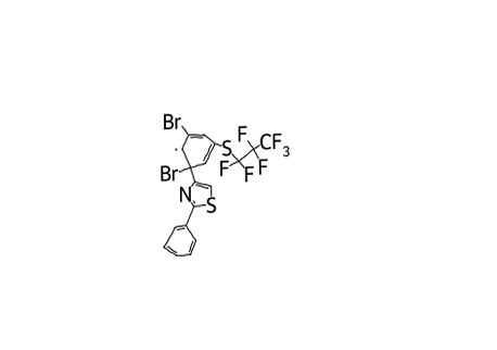 FC(F)(F)C(F)(F)C(F)(F)SC1=CC(Br)(c2csc(-c3ccccc3)n2)[CH]C(Br)=C1